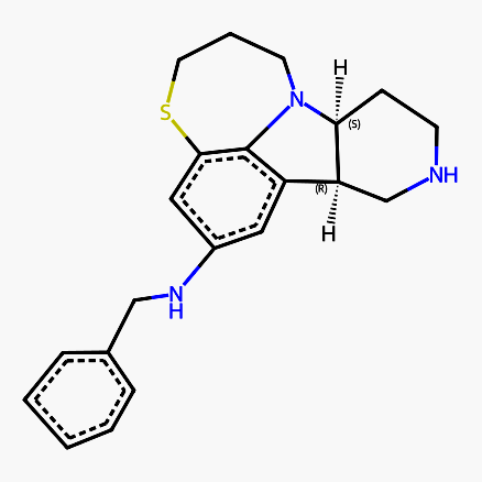 c1ccc(CNc2cc3c4c(c2)[C@@H]2CNCC[C@@H]2N4CCCS3)cc1